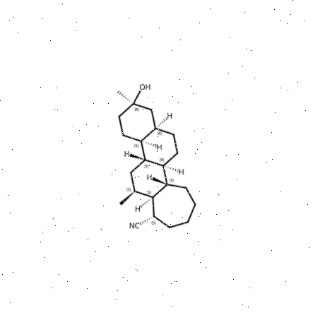 C[C@H]1C[C@H]2[C@@H](CC[C@@H]3C[C@](C)(O)CC[C@@H]32)[C@@H]2CCCC[C@H](C#N)[C@H]21